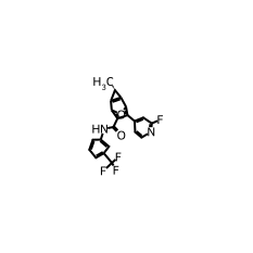 C[C@H]1c2c1c1oc2c(C(=O)Nc2cccc(C(F)(F)F)c2)c1-c1ccnc(F)c1